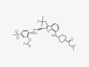 CN(C)CC(=O)N1CCC(Nc2cccc3c(CC(F)(F)F)c(C#CCNc4ccc(S(C)(=O)=O)cc4OC(F)F)sc23)CC1